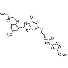 COc1cnc2c(-c3nc4c(Cl)c(F)c(OCCOC(=O)Nc5nnc(OC)o5)cc4s3)cc(C)cc2n1